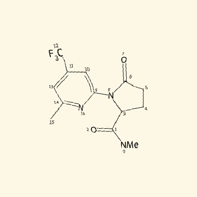 CNC(=O)C1CCC(=O)N1c1cc(C(F)(F)F)cc(C)n1